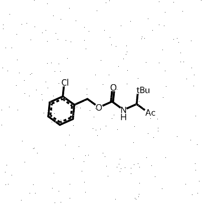 CC(=O)C(NC(=O)OCc1ccccc1Cl)C(C)(C)C